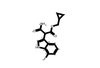 NC(=O)C(C(=O)OCC1CC1)c1c[nH]c2c(F)cccc12